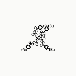 CC(C)(C)c1ccc(C(=O)OOC(=O)OCC(COC(=O)OOC(=O)c2ccc(C(C)(C)C)cc2)(COC(=O)OOC(=O)c2ccc(C(C)(C)C)cc2)COC(=O)OOC(=O)c2ccc(C(C)(C)C)cc2)cc1